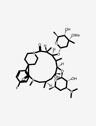 CO[C@]1(C)C[C@H](O[C@H]2C(C)[C@@H](O[C@@H]3O[C@H](C)C[C@H](N(C)C)[C@H]3O)[C@](C)(O)C[C@@H](C)CN(C)C(=O)C3(c4ccc(F)cc4)CCN(CC3)C(=O)[C@@H]2C)O[C@@H](C)[C@@H]1O